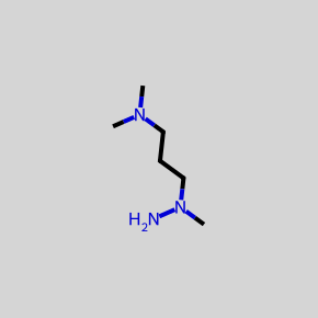 CN(C)CCCN(C)N